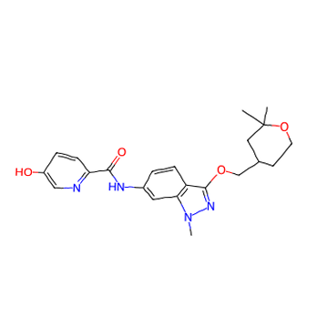 Cn1nc(OCC2CCOC(C)(C)C2)c2ccc(NC(=O)c3ccc(O)cn3)cc21